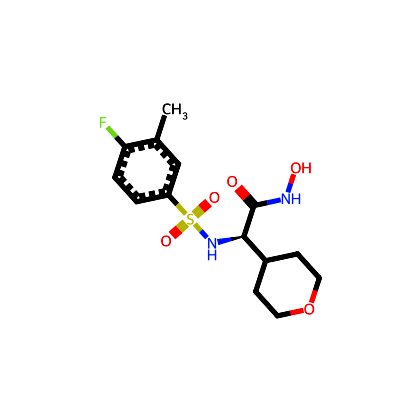 Cc1cc(S(=O)(=O)N[C@@H](C(=O)NO)C2CCOCC2)ccc1F